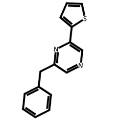 c1ccc(Cc2cncc(-c3cccs3)n2)cc1